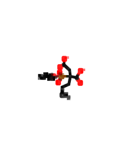 C=CCC(CC(=O)[O-])(C(=O)[O-])S(=O)(=O)[O-].[Na+].[Na+].[Na+]